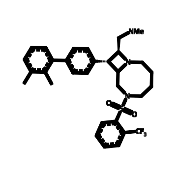 CNC[C@@H]1[C@@H](c2ccc(-c3cccc(C)c3C)cc2)C2CN(S(=O)(=O)c3ccccc3C(F)(F)F)CCCCN21